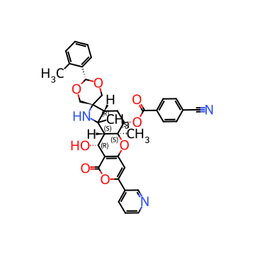 Cc1ccccc1[C@H]1OC[C@]2(CO1)NC1(C)[C@H]3[C@@H](O)c4c(cc(-c5cccnc5)oc4=O)O[C@]3(C)[C@@H](OC(=O)c3ccc(C#N)cc3)C[C@H]12